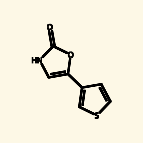 O=c1[nH]cc(-c2ccsc2)o1